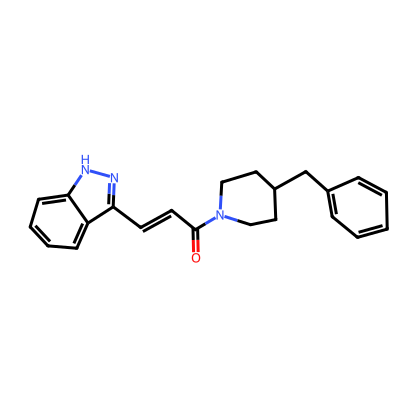 O=C(C=Cc1n[nH]c2ccccc12)N1CCC(Cc2ccccc2)CC1